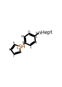 CCCCCCCc1ccc([SH]2C=CC=C2)cc1